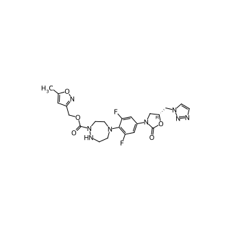 Cc1cc(COC(=O)N2CCN(c3c(F)cc(N4C[C@H](Cn5ccnn5)OC4=O)cc3F)CCN2)no1